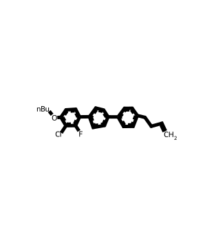 C=CCCc1ccc(-c2ccc(-c3ccc(OCCCC)c(Cl)c3F)cc2)cc1